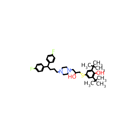 CC(C)(C)c1cc(SCC(O)CN2CCN(CCCC(c3ccc(F)cc3)c3ccc(F)cc3)CC2)cc(C(C)(C)C)c1O